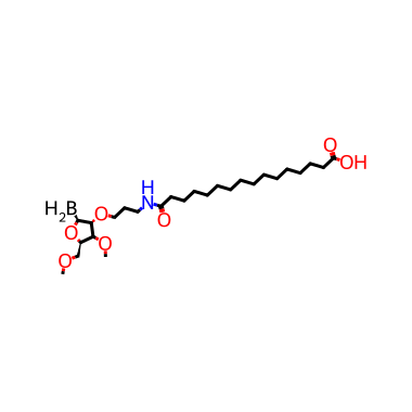 B[C@@H]1O[C@H](COC)C(OC)[C@@H]1OCCCNC(=O)CCCCCCCCCCCCCCC(=O)O